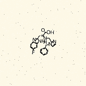 O=C(O)[C@@H](Cc1nc2ccc(F)cc2[nH]1)NCc1nccn1Cc1ccccc1